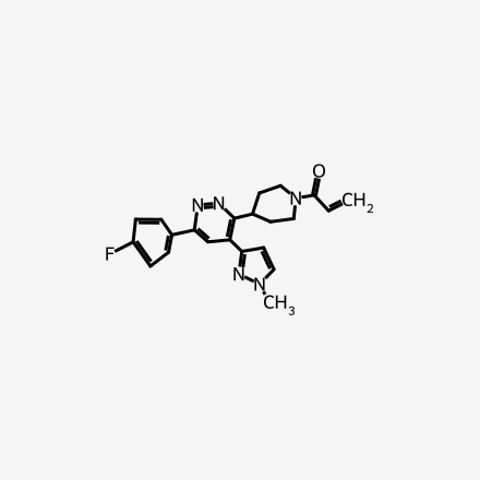 C=CC(=O)N1CCC(c2nnc(-c3ccc(F)cc3)cc2-c2ccn(C)n2)CC1